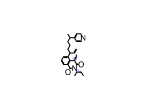 C=CC(CCCC(C)c1ccncc1)c1cccc2c1/C(=C\C)C(=O)N(/C(C)=C/C)C2=O